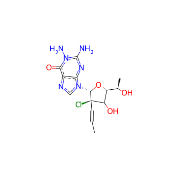 CC#C[C@@]1(Cl)C(O)[C@@H]([C@@H](C)O)O[C@H]1n1cnc2c(=O)n(N)c(N)nc21